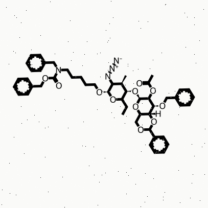 CCC1O[C@H](OCCCCCN(Cc2ccccc2)C(=O)OCc2ccccc2)C(N=[N+]=[N-])[C@@H](C)[C@@H]1O[C@@H]1OC2COC(c3ccccc3)O[C@H]2[C@@H](OCc2ccccc2)C1OC(C)=O